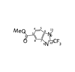 COC(=O)c1ccc2c(c1)nc(C(F)(F)F)n2C